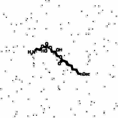 CCCCCCCCCCCCCCC=CC(=O)OC[C@@H](O)COP(=O)(O)OCCN